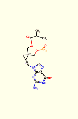 CC(C)C(=O)OC[C@]1(CO[PH2]=O)C/C1=C/n1cnc2c(=O)[nH]c(N)nc21